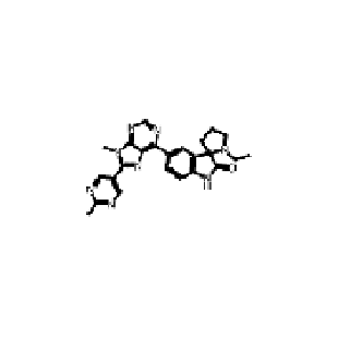 CCN1CCCC12C(=O)Nc1ccc(-c3ncnc4c3nc(-c3cnc(C)nc3)n4C)cc12